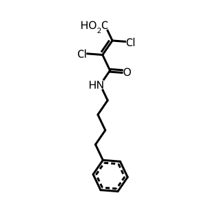 O=C(O)C(Cl)=C(Cl)C(=O)NCCCCc1ccccc1